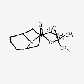 CCN1CC2CCC(C1)N2C(=O)OC(C)(C)C